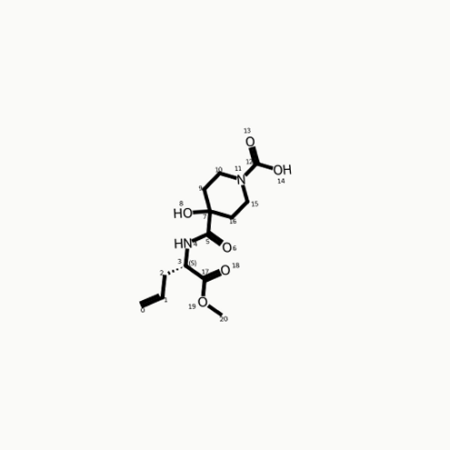 C=CC[C@H](NC(=O)C1(O)CCN(C(=O)O)CC1)C(=O)OC